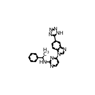 CC(Nc1nccc(-n2cnc3cc(-c4nnn[nH]4)ccc32)n1)c1ccccc1